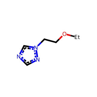 CCOCCn1cncn1